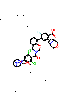 COCCN1C2CC1CN(c1cc(Cl)c(C(=O)N3COc4c(cccc4-c4cc(N5C6CCC5COC6)c(C(=O)O)cc4F)C3)c(Cl)c1)C2